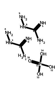 N=C(N)NN.N=C(N)NN.O=P(O)(O)O